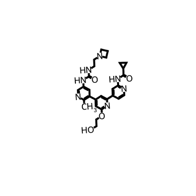 Cc1ncc(NC(=O)NCCN2CCC2)cc1-c1cc(OCCO)nc(-c2ccnc(NC(=O)C3CC3)c2)c1